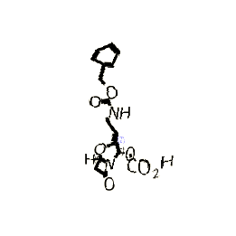 O=C(O)O[C@H]1/C(=C/CNC(=O)OCc2ccccc2)O[C@H]2CC(=O)N21